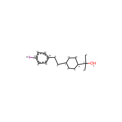 CC(C)(O)C1CCC(CCc2ccc(I)cc2)CC1